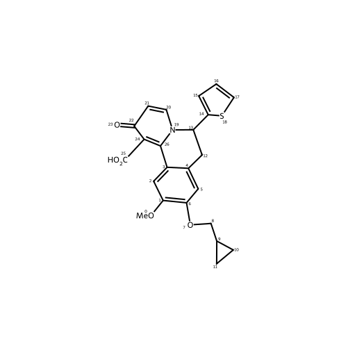 COc1cc2c(cc1OCC1CC1)CC(c1cccs1)n1ccc(=O)c(C(=O)O)c1-2